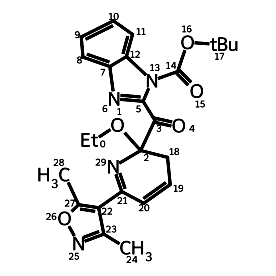 CCOC1(C(=O)c2nc3ccccc3n2C(=O)OC(C)(C)C)CC=CC(c2c(C)noc2C)=N1